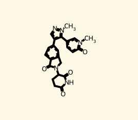 Cn1ncc(-c2ccc3c(c2)CN(C2CCC(=O)NC2=O)C3=O)c1-c1ccc(=O)n(C)c1